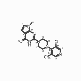 Cn1ccc2c(=O)[nH]c(N3CCN(c4c(Cl)cncc4Cl)CC3)nc21